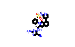 C[C@H](Nc1nc(N)ncc1C#N)c1cc2cccc(-c3ccnc(N(C)S(C)(=O)=O)c3)c2c(=O)n1-c1ccccc1